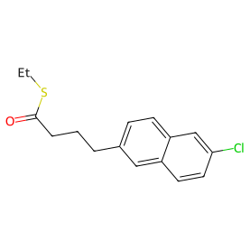 CCSC(=O)CCCc1ccc2cc(Cl)ccc2c1